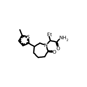 CCC(C(N)=O)N1CC(c2ccc(C)s2)CCCC1=O